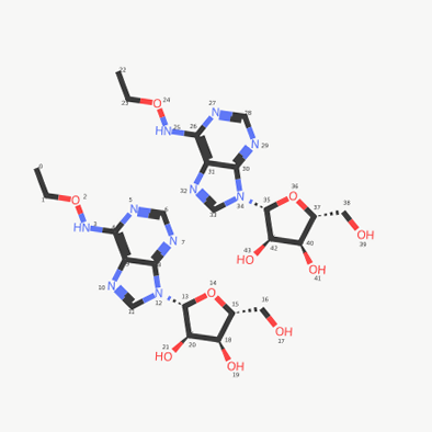 CCONc1ncnc2c1ncn2[C@@H]1O[C@H](CO)[C@@H](O)[C@H]1O.CCONc1ncnc2c1ncn2[C@@H]1O[C@H](CO)[C@@H](O)[C@H]1O